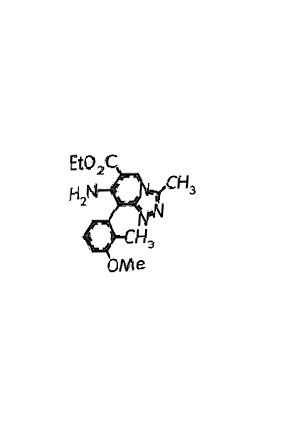 CCOC(=O)c1cn2c(C)nnc2c(-c2cccc(OC)c2C)c1N